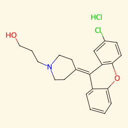 Cl.OCCCN1CCC(=C2c3ccccc3Oc3ccc(Cl)cc32)CC1